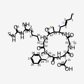 CC/C=C/CC1NC(=O)[C@H](C)NC(=O)[C@H](CC(=O)O)NC(=O)[C@H](Cc2ccccc2)N(C)C(=O)[C@H](CCCN=C(N)NC(=O)NC)NC(=O)C1C